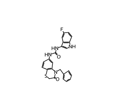 O=C(Nc1ccc2c(c1)N(Cc1ccccc1)C(=O)CS2)Nc1c[nH]c2ccc(F)cc12